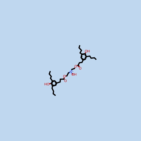 CCCCc1cc(CCC(=O)OCC[N+](O)CCOC(=O)CCc2cc(CCCC)c(O)c(CCCC)c2)cc(CCCC)c1O